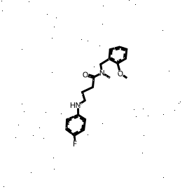 COc1ccccc1CN(C)C(=O)CCCNc1ccc(F)cc1